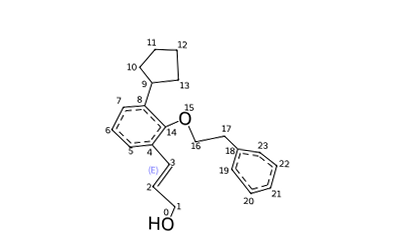 OC/C=C/c1cccc(C2CCCC2)c1OCCc1ccccc1